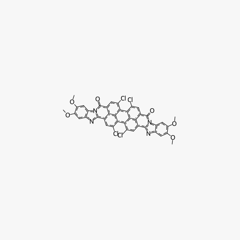 COc1cc2nc3c4cc(Cl)c5c6c(Cl)cc7c8c(cc(Cl)c(c9c(Cl)cc(c(=O)n3c2cc1OC)c4c95)c68)c(=O)n1c2cc(OC)c(OC)cc2nc71